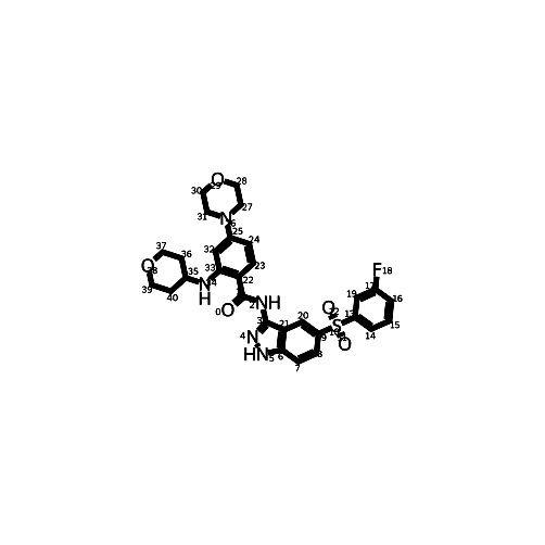 O=C(Nc1n[nH]c2ccc(S(=O)(=O)c3cccc(F)c3)cc12)c1ccc(N2CCOCC2)cc1NC1CCOCC1